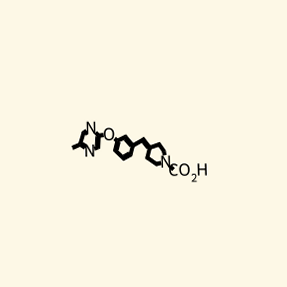 Cc1cnc(Oc2cccc(C=C3CCN(C(=O)O)CC3)c2)cn1